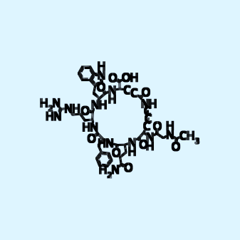 CC(=O)NCC(=O)NC1CCCNC(=O)CCC(C(=O)O)NC(=O)[C@H](Cc2c[nH]c3ccccc23)NC(=O)[C@H](CCCNC(=N)N)NC(=O)C(Cc2ccccc2)NC(=O)C(CCC(N)=O)NC1=O